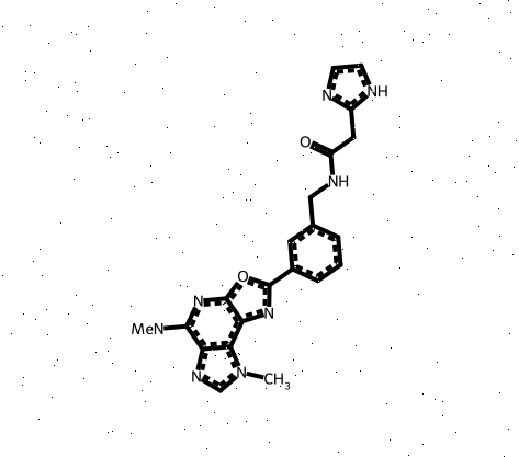 CNc1nc2oc(-c3cccc(CNC(=O)Cc4ncc[nH]4)c3)nc2c2c1ncn2C